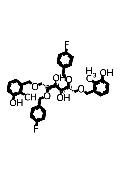 Cc1c(O)cccc1COC[C@@H](OCc1ccc(F)cc1)[C@@H](O)[C@H](O)[C@@H](COCc1cccc(O)c1C)OCc1ccc(F)cc1